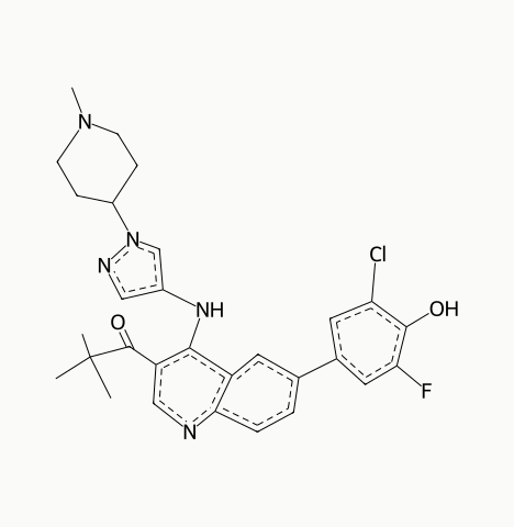 CN1CCC(n2cc(Nc3c(C(=O)C(C)(C)C)cnc4ccc(-c5cc(F)c(O)c(Cl)c5)cc34)cn2)CC1